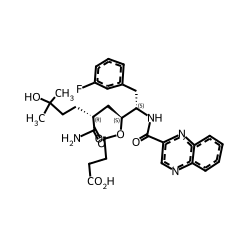 CC(C)(O)CC[C@H](C[C@H](OC(=O)CCC(=O)O)[C@H](Cc1cccc(F)c1)NC(=O)c1cnc2ccccc2n1)C(N)=O